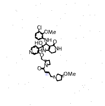 COc1c(Cl)cccc1NC1C2=C(CCNC2=O)NC1(O)c1ccncc1OC[C@H]1CCN1C(=O)/C=C/CN1CC[C@H](OC)C1